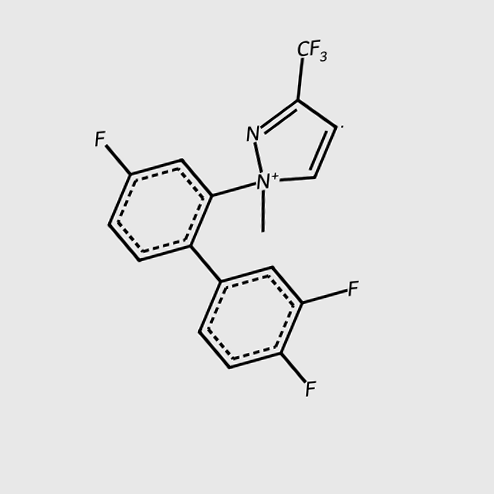 C[N+]1(c2cc(F)ccc2-c2ccc(F)c(F)c2)C=[C]C(C(F)(F)F)=N1